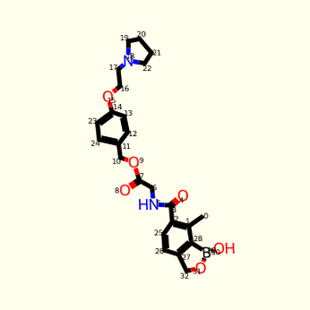 Cc1c(C(=O)NCC(=O)OCc2ccc(OCCN3CCCC3)cc2)ccc2c1B(O)OC2